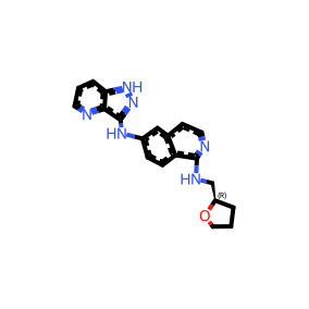 c1cnc2c(Nc3ccc4c(NC[C@H]5CCCO5)nccc4c3)n[nH]c2c1